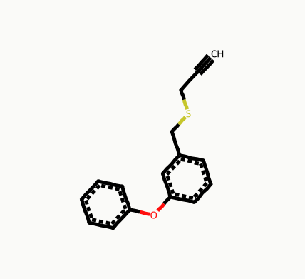 C#CCSCc1cccc(Oc2ccccc2)c1